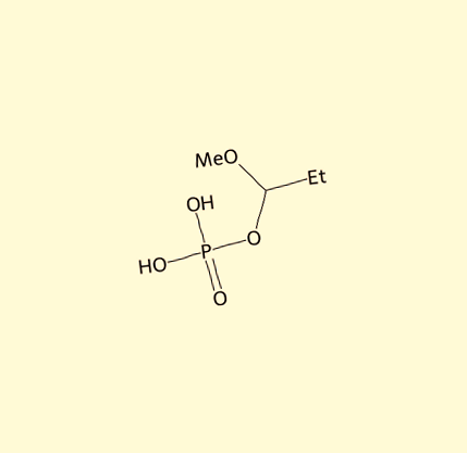 CCC(OC)OP(=O)(O)O